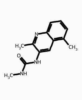 CNC(=O)Nc1cc2c(C)cccc2nc1C